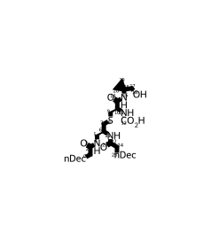 CCCCCCCCCCCC(=O)NC[C@@H](CSC[C@H](NC(=O)O)C(=O)NC1(CO)CC1)NC(=O)CCCCCCCCCCC